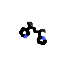 CC(CCC(C)c1ccccn1)c1cccnc1